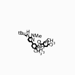 CNc1nc(C2CCC(C)(C)C(NC(=O)C3CCC(=O)N(C)C3)C2)ccc1NCC(C)(C)C